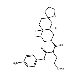 COCCN(C(=O)Oc1ccc([N+](=O)[O-])cc1)C(=O)[C@@H]1C[C@@H]2CC3(CC[C@H]2N(C)C1)OCCO3